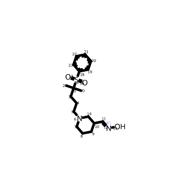 CC(C)(CCCN1CCCC(/C=N/O)C1)S(=O)(=O)c1ccccc1